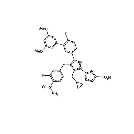 COc1cc(OC)cc(-c2cc(-c3nn(-c4nc(C(=O)O)cs4)c(CC4CC4)c3Cc3ccc([S+](N)[O-])c(F)c3)ccc2F)c1